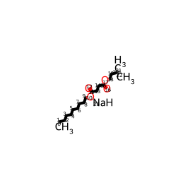 CCCCCCCCCCOC(=O)CCC(=O)OCCC(C)C.[NaH]